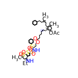 CCN[C@H]1C[C@H](C)S(=O)(=O)c2sc(S(=O)(=O)NC(CCOC(=O)CCC/C=C\C[C@@H]3[C@@H](CC[C@H](C)CCc4ccccc4)[C@H](C)C[C@@H]3OC(C)=O)[S+]([O-])c3ccccc3)cc21